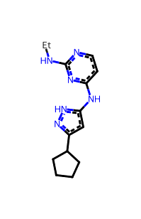 CCNc1nccc(Nc2cc(C3CCCC3)n[nH]2)n1